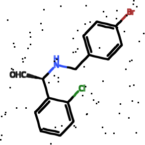 O=C[C@@H](NCc1ccc(Br)cc1)c1ccccc1Cl